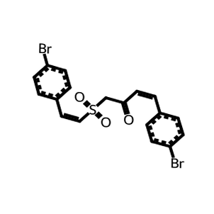 O=C(/C=C\c1ccc(Br)cc1)CS(=O)(=O)/C=C\c1ccc(Br)cc1